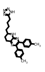 Cc1ccc(-c2nc3c(nc2-c2ccc(C)cc2)NC(CCCCc2nnn[nH]2)CC3)cc1